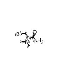 CN(C)N(CC(C)(C)C)C(N)=O